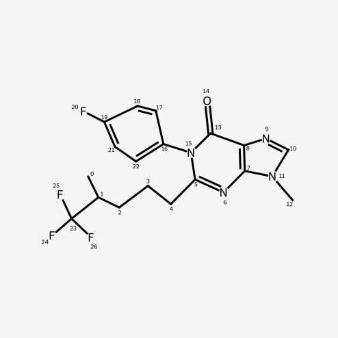 CC(CCCc1nc2c(ncn2C)c(=O)n1-c1ccc(F)cc1)C(F)(F)F